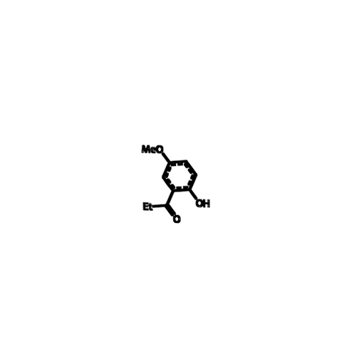 CCC(=O)c1cc(OC)ccc1O